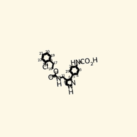 O=C(O)Nc1ccc(-c2n[nH]cc2CNC(=O)OCCc2ccccc2Cl)cc1